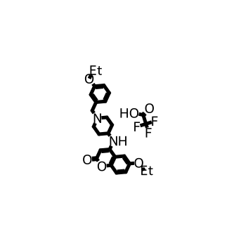 CCOc1cccc(CN2CCC(Nc3cc(=O)oc4ccc(OCC)cc34)CC2)c1.O=C(O)C(F)(F)F